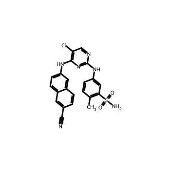 Cc1ccc(Nc2ncc(Cl)c(Nc3ccc4cc(C#N)ccc4c3)n2)cc1S(N)(=O)=O